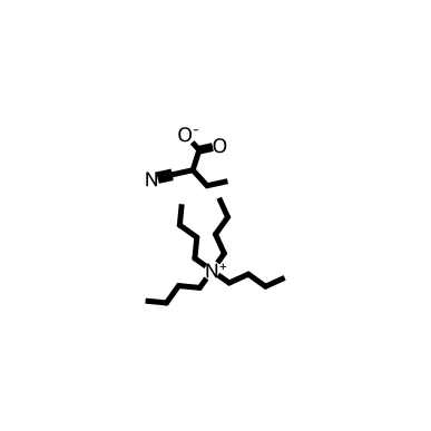 CCC(C#N)C(=O)[O-].CCCC[N+](CCCC)(CCCC)CCCC